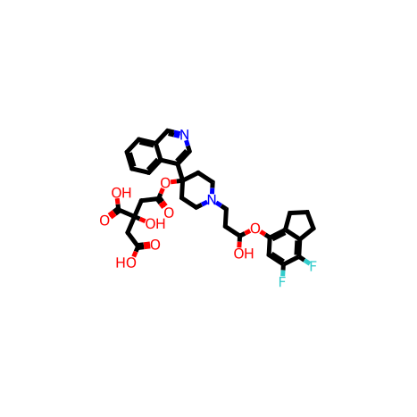 O=C(O)CC(O)(CC(=O)OC1(c2cncc3ccccc23)CCN(CCC(O)Oc2cc(F)c(F)c3c2CCC3)CC1)C(=O)O